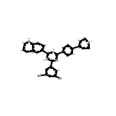 Brc1cc(Br)cc(-c2nc(-c3ccc(-c4ccncc4)cc3)nc(-c3ccc4ncccc4c3)n2)c1